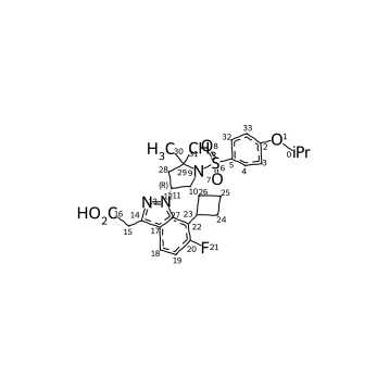 CC(C)Oc1ccc(S(=O)(=O)N2C[C@H](n3nc(CC(=O)O)c4ccc(F)c(C5CCC5)c43)CC2(C)C)cc1